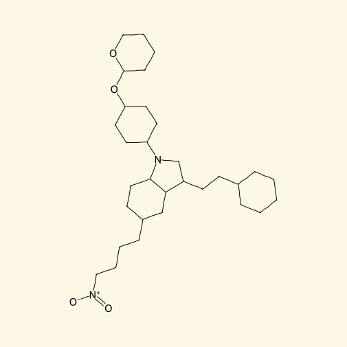 O=[N+]([O-])CCCCC1CCC2C(C1)C(CCC1CCCCC1)CN2C1CCC(OC2CCCCO2)CC1